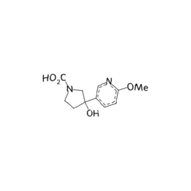 COc1ccc(C2(O)CCN(C(=O)O)C2)cn1